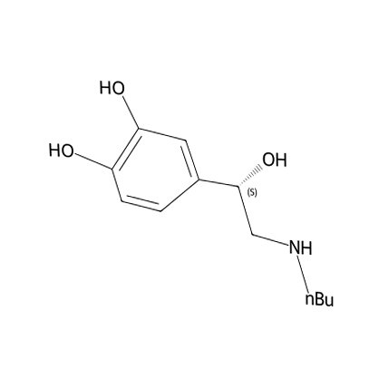 CCCCNC[C@@H](O)c1ccc(O)c(O)c1